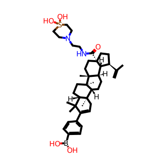 C=C(C)[C@@H]1CC[C@]2(C(=O)NCCN3CCS(O)(O)CC3)CC[C@]3(C)[C@H](CC[C@@H]4[C@@]5(C)CC=C(c6ccc(B(O)O)cc6)C(C)(C)[C@@H]5CC[C@]43C)[C@@H]12